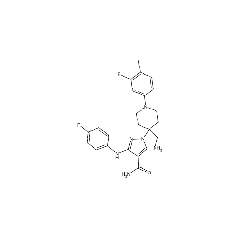 Cc1ccc(N2CCC(CN)(n3cc(C(N)=O)c(Nc4ccc(F)cc4)n3)CC2)cc1F